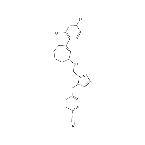 Cc1ccc(C2=CC(NCc3cncn3Cc3ccc(C#N)cc3)CCCC2)c(C)c1